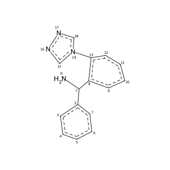 NC(c1ccccc1)c1ccccc1-n1cnnc1